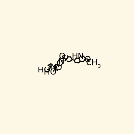 COC1CNC2CC(C3CC=C([S+]([O-])N4CCC5(CC4)CN(C4(CO)CC4)C(O)CO5)CC3)CCC2C1